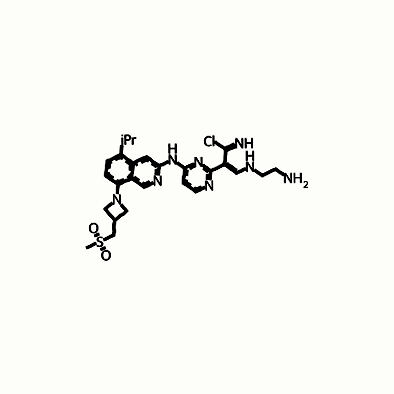 CC(C)c1ccc(N2CC(CS(C)(=O)=O)C2)c2cnc(Nc3ccnc(/C(=C/NCCN)C(=N)Cl)n3)cc12